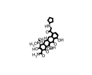 CN(C)[C@@H]1C(O)=C(C(N)=O)C(=O)[C@@]2(O)C(O)=C3C(=O)c4c(O)ccc(C(=O)CNC5CCCC5)c4C[C@H]3C[C@@H]12